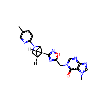 Cc1ccc(N2C[C@@H]3[C@@H]4C2[C@]34c2noc(Cn3cnc4ncn(C)c4c3=O)n2)nc1